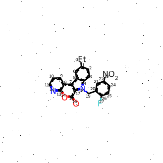 CCc1ccc2c(c1)c1c3cccnc3oc(=O)c1n2Cc1cc([N+](=O)[O-])ccc1F